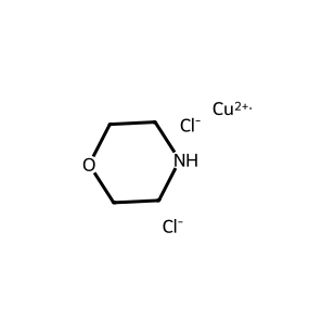 C1COCCN1.[Cl-].[Cl-].[Cu+2]